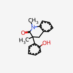 CN1C(=O)C(C)(c2ccccc2O)Cc2ccccc21